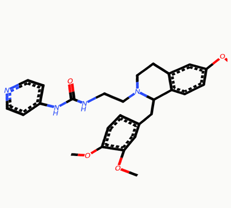 COc1ccc2c(c1)CCN(CCNC(=O)Nc1ccncc1)C2Cc1ccc(OC)c(OC)c1